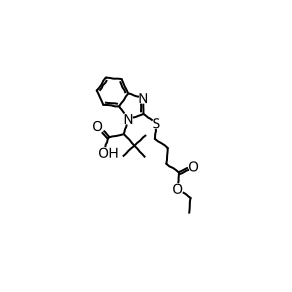 CCOC(=O)CCCSc1nc2ccccc2n1C(C(=O)O)C(C)(C)C